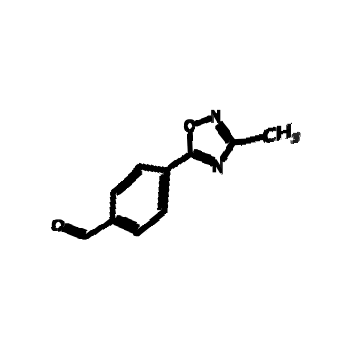 Cc1noc(-c2ccc(C=O)cc2)n1